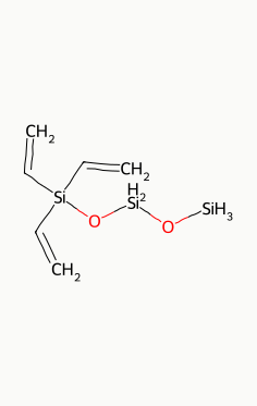 C=C[Si](C=C)(C=C)O[SiH2]O[SiH3]